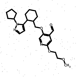 COCCOc1cc(C=O)c(OCC2CCCCC2c2ccnn2C2CCCC2)cn1